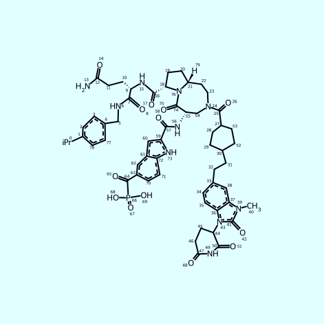 CC(C)c1ccc(CNC(=O)[C@H](CCC(N)=O)NC(=O)[C@@H]2CC[C@@H]3CCN(C(=O)C4CCC(CCc5ccc6c(c5)n(C)c(=O)n6C5CCC(=O)NC5=O)CC4)C[C@H](NC(=O)c4cc5cc(C(=O)P(=O)(O)O)ccc5[nH]4)C(=O)N32)cc1